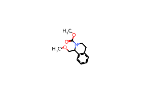 COCC1c2ccccc2CCN1C(=O)OC